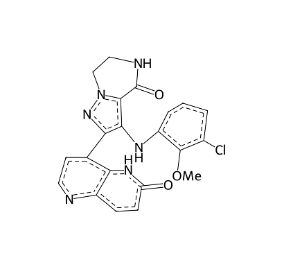 COc1c(Cl)cccc1Nc1c(-c2ccnc3ccc(=O)[nH]c23)nn2c1C(=O)NCC2